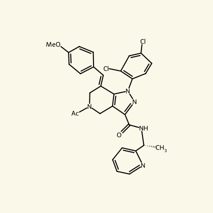 COc1ccc(/C=C2\CN(C(C)=O)Cc3c(C(=O)N[C@H](C)c4ccccn4)nn(-c4ccc(Cl)cc4Cl)c32)cc1